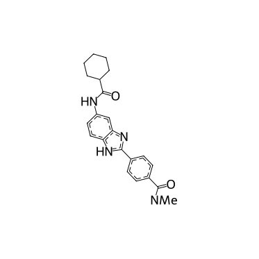 CNC(=O)c1ccc(-c2nc3cc(NC(=O)C4CCCCC4)ccc3[nH]2)cc1